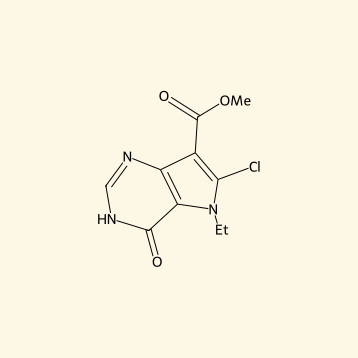 CCn1c(Cl)c(C(=O)OC)c2nc[nH]c(=O)c21